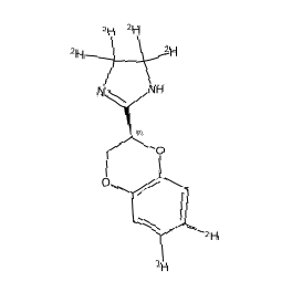 [2H]c1cc2c(cc1[2H])O[C@H](C1=NC([2H])([2H])C([2H])([2H])N1)CO2